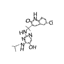 CC(C)CNc1nc(NC(C)(C)c2cc3cc(Cl)ccc3[nH]c2=O)ncc1O